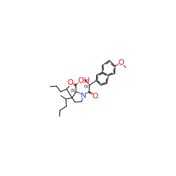 CCCC(C)C1(C(C)CCC)CCN(C(=O)[C@@H](C)c2ccc3cc(OC)ccc3c2)[C@@H]1C(=O)O